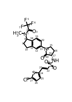 CN(C(=O)C(F)(F)F)C1CCc2cc(N3CC[C@H](NS(=O)(=O)C=Cc4ccc(Cl)s4)C3=O)ccc21